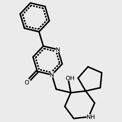 O=c1cc(-c2ccccc2)ncn1CC1(O)CCNCC12CCCC2